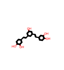 Oc1cc(C=Cc2ccc(O)c(O)c2)cc(C=Cc2ccc(O)c(O)c2)c1